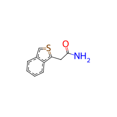 NC(=O)Cc1scc2ccccc12